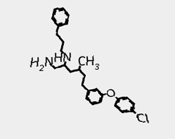 CC(CCc1cccc(Oc2ccc(Cl)cc2)c1)CC(CN)NCCCc1ccccc1